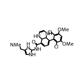 CNCC1=CNC(NC(=O)C2=CC=C(c3c(Cl)c(OC)cc(OC)c3Cl)C3NC=CNC23)N1